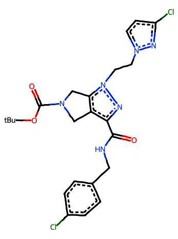 CC(C)(C)OC(=O)N1Cc2c(C(=O)NCc3ccc(Cl)cc3)nn(CCn3ccc(Cl)n3)c2C1